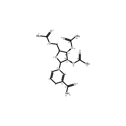 CC(C)(C)C(=O)OCC1OC(N2C=CCC(C(N)=O)=C2)[C@H](OC(=O)C(C)(C)C)[C@@H]1OC(=O)C(C)(C)C